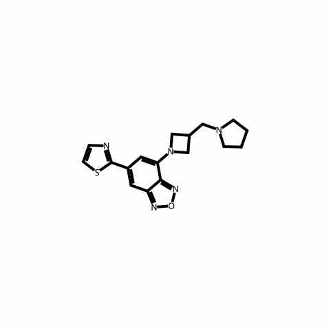 c1csc(-c2cc(N3CC(CN4CCCC4)C3)c3nonc3c2)n1